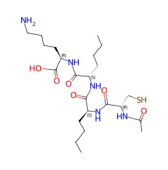 CCCC[C@H](NC(=O)[C@H](CS)NC(C)=O)C(=O)N[C@@H](CCCC)C(=O)N[C@H](CCCCN)C(=O)O